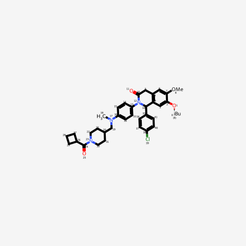 CC[C@@H](C)Oc1cc2c(cc1OC)CC(=O)N(c1ccc(N(C)CC3CCN(C(=O)C4CCC4)CC3)cc1)C2c1ccc(Cl)cc1